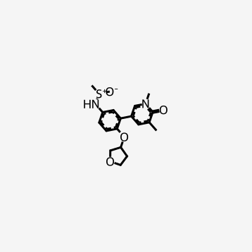 Cc1cc(-c2cc(N[S+](C)[O-])ccc2OC2CCOC2)cn(C)c1=O